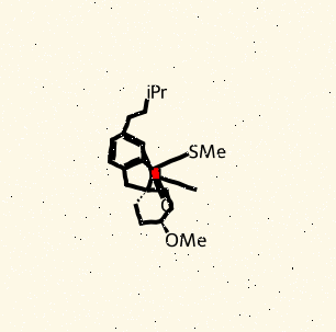 CO[C@H]1CC[C@]2(CC1)Cc1ccc(CCC(C)C)cc1C21N=C(SC)N(C)C1=O